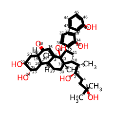 C[C@H]([C@H](O)CCC(C)(C)O)[C@H]1CC[C@@]2(O)C3=CC(=O)[C@@H]4C[C@@H](O)[C@@H](O)C[C@]4(C)[C@H]3CC[C@]12C.Oc1ccccc1.Oc1ccccc1